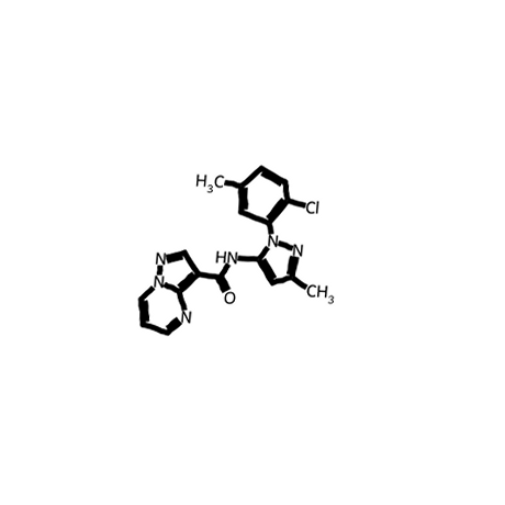 Cc1ccc(Cl)c(-n2nc(C)cc2NC(=O)c2cnn3cccnc23)c1